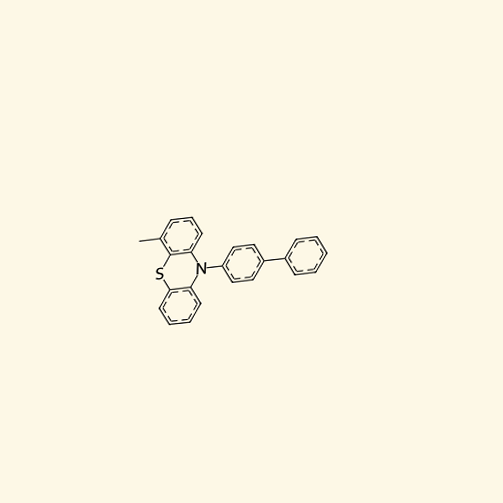 Cc1cccc2c1Sc1ccccc1N2c1ccc(-c2ccccc2)cc1